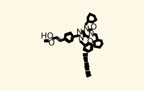 C=C.C=C.C=C.C=C.C=C.C=C.C=C.C=C.C=C.O=C(O)/C=C/c1ccc(-c2nc3c(c(=O)n(CC4CCCCC4)c(=O)n3CC3CCCCC3)n2Cc2ccccc2)cc1